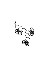 C=CC(CC)CC(CC[Si](C)(OC)OC)CC(C=C)CC(CC[Si](C)(OC)OC)CC(C=C)CC(CC)CC[Si](C)(OC)OC